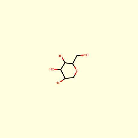 OCC1O[CH]C(O)C(O)C1O